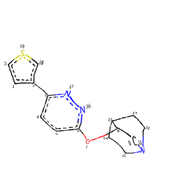 c1cc(-c2ccc(OC3CN4CCC3CC4)nn2)cs1